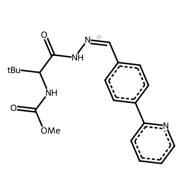 COC(=O)NC(C(=O)N/N=C\c1ccc(-c2ccccn2)cc1)C(C)(C)C